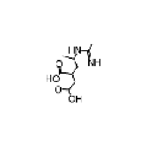 CC(=N)NC(C)CC(CC(=O)O)C(=O)O